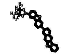 CC1(C)OB(c2ccc3oc4cc(-c5ccc6cc7c(cc6c5)oc5ccccc57)ccc4c3c2)OC1(C)C